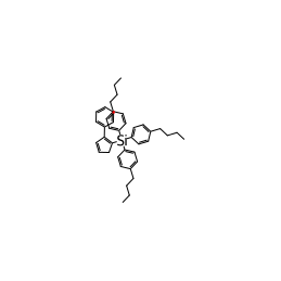 CCCCc1ccc([Si](C2=C(c3ccccc3)C=CC2)(c2ccc(CCCC)cc2)c2ccc(CCCC)cc2)cc1